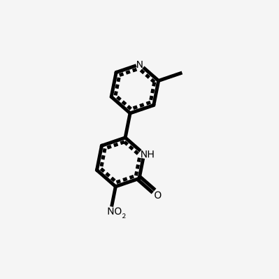 Cc1cc(-c2ccc([N+](=O)[O-])c(=O)[nH]2)ccn1